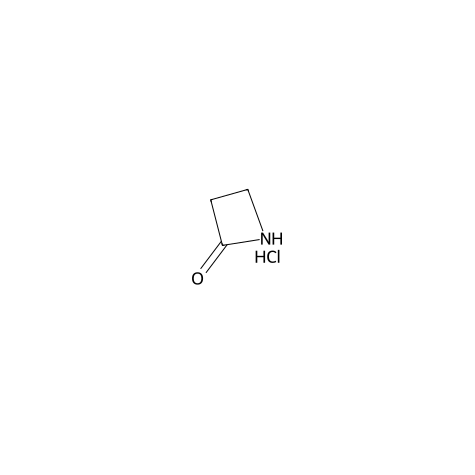 Cl.O=C1CCN1